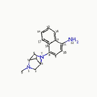 CN1CC2CC1CN2c1ccc(N)c2ccccc12